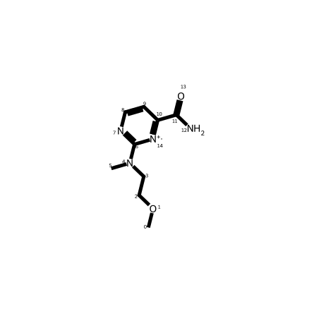 COCCN(C)C1=NC=CC(C(N)=O)=[N+]1